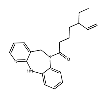 C=CC(CC)CCCC(=O)N1Cc2cccnc2Nc2ccccc21